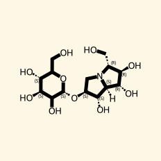 OCC1O[C@H](O[C@H]2CN3[C@@H]([C@@H](O)[C@H](O)[C@H]3CO)[C@@H]2O)C(O)[C@@H](O)[C@@H]1O